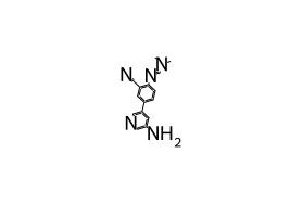 CN(C)/C=N/c1ccc(-c2cncc(N)c2)cc1C#N